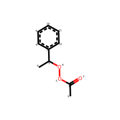 CC(=O)OOC(C)c1ccccc1